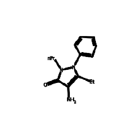 CCCn1c(=O)c(N)c(CC)n1-c1ccccc1